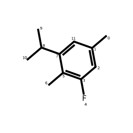 Cc1cc(F)c(C)c(C(C)C)c1